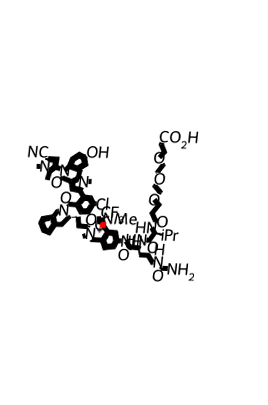 CNCc1cc(NC(=O)[C@H](CCCNC(N)=O)NC(=O)[C@@H](NC(=O)CCOCCOCCOCCC(=O)O)C(C)C)ccc1C[N+](C)(C)C(CC[C@@H]1Cc2ccccc2CN1C(=O)c1ccc(Cl)cc1-c1cc(C(=O)N(c2ccc(O)cc2)c2cc(C#N)n(C)c2C)c(C)n1C)OC(=O)C(F)(F)F